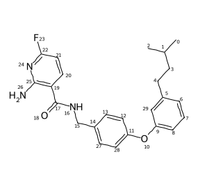 CC(C)CCc1cccc(Oc2ccc(CNC(=O)c3ccc(F)nc3N)cc2)c1